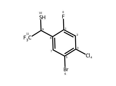 Fc1cc(Cl)c(Br)cc1C(S)C(F)(F)F